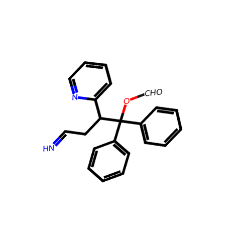 N=CCC(c1ccccn1)C(OC=O)(c1ccccc1)c1ccccc1